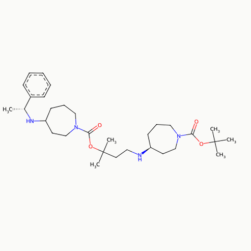 C[C@@H](NC1CCCN(C(=O)OC(C)(C)CCN[C@H]2CCCN(C(=O)OC(C)(C)C)CC2)CC1)c1ccccc1